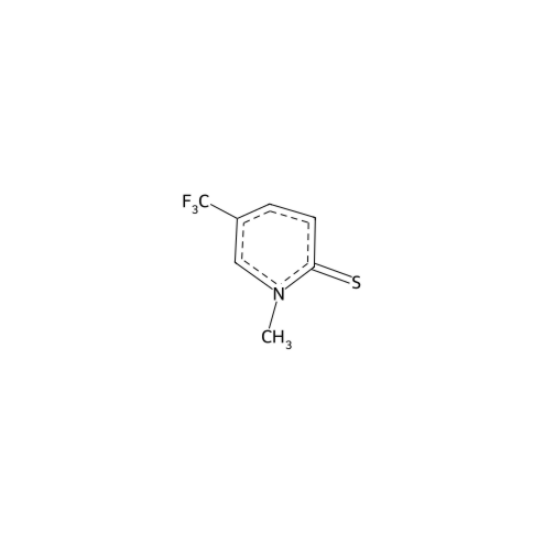 Cn1cc(C(F)(F)F)ccc1=S